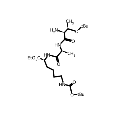 CCOC(=O)[C@H](CCCCNC(=O)OC(C)(C)C)NC(=O)[C@H](C)NC(=O)[C@@H](N)[C@@H](C)OC(C)(C)C